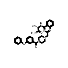 CC(C)[C@H](Nc1nc(CN2CCN(C(=O)c3cccc(Oc4ccccc4)c3)CC2)nc2ccccc12)C(N)=O